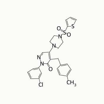 Cc1ccc(Cc2c(N3CCN(S(=O)(=O)c4cccs4)CC3)cnn(-c3cccc(Cl)c3)c2=O)cc1